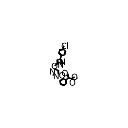 CO/C=C(/C(=O)OC)c1ccccc1Oc1cc(Oc2cc(-c3ccc(Cl)cc3)nn2C)ncn1